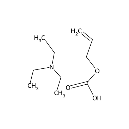 C=CCOC(=O)O.CCN(CC)CC